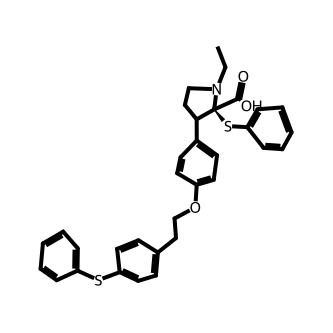 CCN1CCC(c2ccc(OCCc3ccc(Sc4ccccc4)cc3)cc2)[C@@]1(Sc1ccccc1)C(=O)O